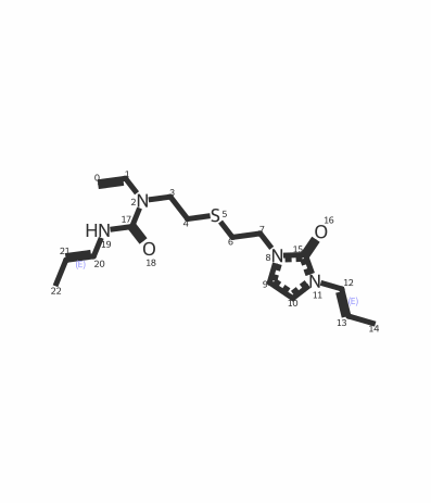 C=CN(CCSCCn1ccn(/C=C/C)c1=O)C(=O)N/C=C/C